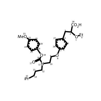 CCOC(Cc1ccc(OCCN(CCCC(C)C)C(=O)Oc2ccc(OC)cc2)cc1)C(=O)O